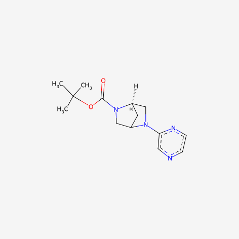 CC(C)(C)OC(=O)N1CC2C[C@@H]1CN2c1cnccn1